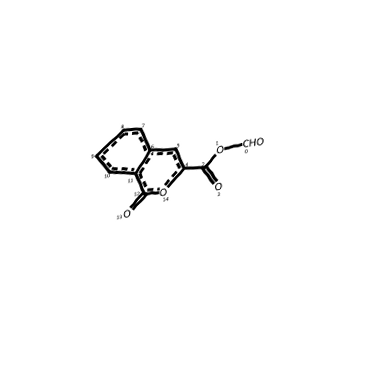 O=COC(=O)c1cc2ccccc2c(=O)o1